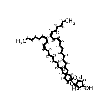 CCCCC/C=C\C/C=C\CCCCCCCCC1(CCCCCCCC/C=C\C/C=C\CCCCC)CCC2(C1)O[C@H]1CC(O)C[C@@H]1O2